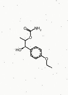 CCOc1ccc([C@@H](O)C(C)OC(N)=O)cc1